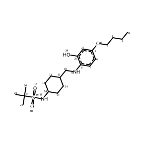 CCCCOc1ccc(NCC2CCC(NS(=O)(=O)C(C)(C)C)CC2)c(O)c1